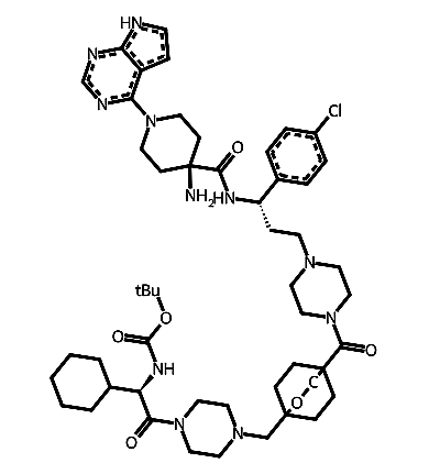 CC(C)(C)OC(=O)N[C@@H](C(=O)N1CCN(CC23CCC(C(=O)N4CCN(CC[C@H](NC(=O)C5(N)CCN(c6ncnc7[nH]ccc67)CC5)c5ccc(Cl)cc5)CC4)(CC2)CO3)CC1)C1CCCCC1